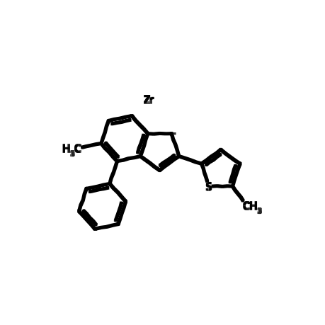 Cc1ccc(C2=Cc3c(ccc(C)c3-c3ccccc3)[CH]2)s1.[Zr]